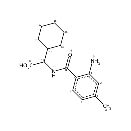 Nc1cc(C(F)(F)F)ccc1C(=O)NC(C(=O)O)C1CCCCC1